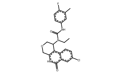 CCN(C(=O)Nc1ccc(F)c(C)c1)C1COCc2[nH]c(=O)c3cc(Cl)ccc3c21